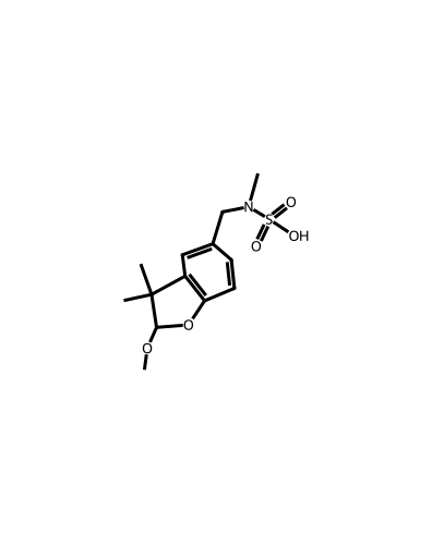 COC1Oc2ccc(CN(C)S(=O)(=O)O)cc2C1(C)C